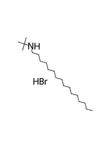 Br.CCCCCCCCCCCCCCCCNC(C)(C)C